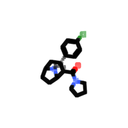 CN1C2CCC1C(C(=O)N1CCCC1)[C@@H](c1ccc(Cl)cc1)C2